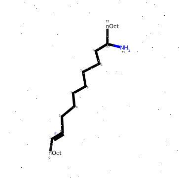 CCCCCCCC/C=C/CCCCCCCC(N)CCCCCCCC